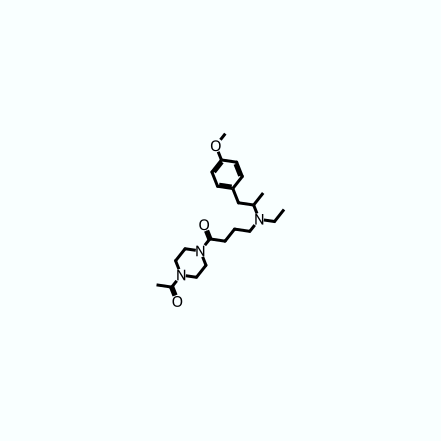 CCN(CCCC(=O)N1CCN(C(C)=O)CC1)C(C)Cc1ccc(OC)cc1